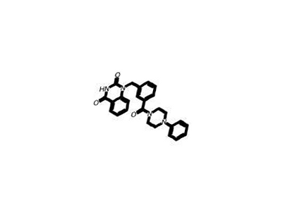 O=C(c1cccc(Cn2c(=O)[nH]c(=O)c3ccccc32)c1)N1CCN(c2ccccc2)CC1